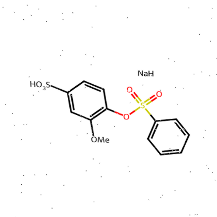 COc1cc(S(=O)(=O)O)ccc1OS(=O)(=O)c1ccccc1.[NaH]